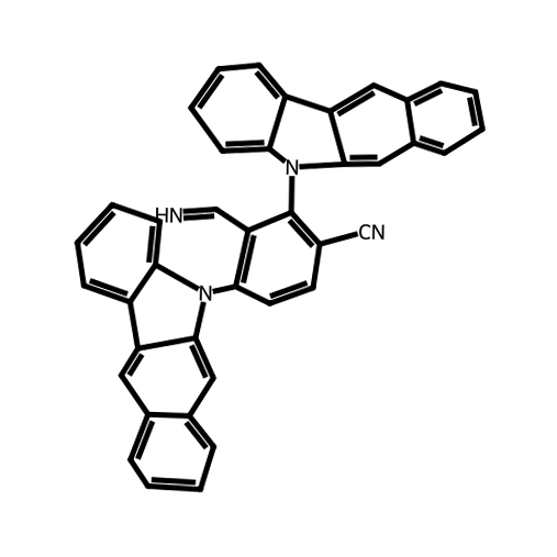 N#Cc1ccc(-n2c3ccccc3c3cc4ccccc4cc32)c(C=N)c1-n1c2ccccc2c2cc3ccccc3cc21